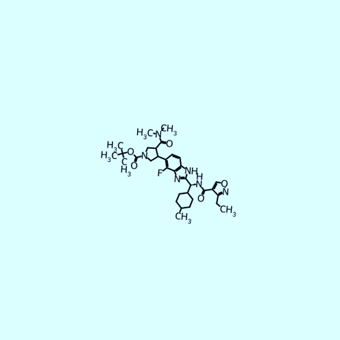 CCc1nocc1C(=O)N[C@H](c1nc2c(F)c(C3CN(C(=O)OC(C)(C)C)CC3C(=O)N(C)C)ccc2[nH]1)C1CCC(C)CC1